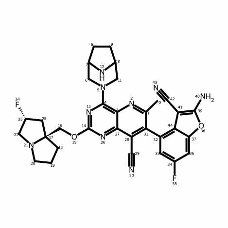 Cc1nc2c(N3CC4CCC(C3)N4)nc(OC[C@@]34CCCN3C[C@H](F)C4)nc2c(C#N)c1-c1cc(F)cc2oc(N)c(C#N)c12